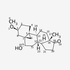 CO[C@H]1CC[C@@]23C[C@]2(C1)[C@@H](O)C[C@@H]1[C@@H]3CC[C@]2(C)C(=O)CC[C@@H]12